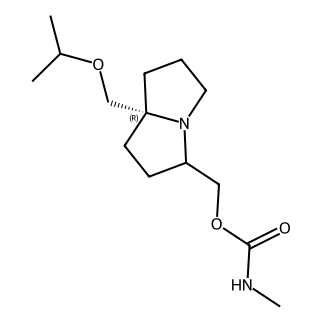 CNC(=O)OCC1CC[C@@]2(COC(C)C)CCCN12